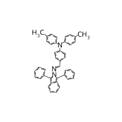 Cc1ccc(N(c2ccc(C)cc2)c2ccc(C=Nn3c(-c4ccccc4)c4ccccc4c3-c3ccccc3)cc2)cc1